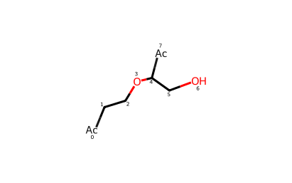 CC(=O)CCOC(CO)C(C)=O